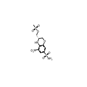 CS(=O)(=O)OC[C@@H]1COc2cc(S(N)(=O)=O)cc([N+](=O)[O-])c2N1